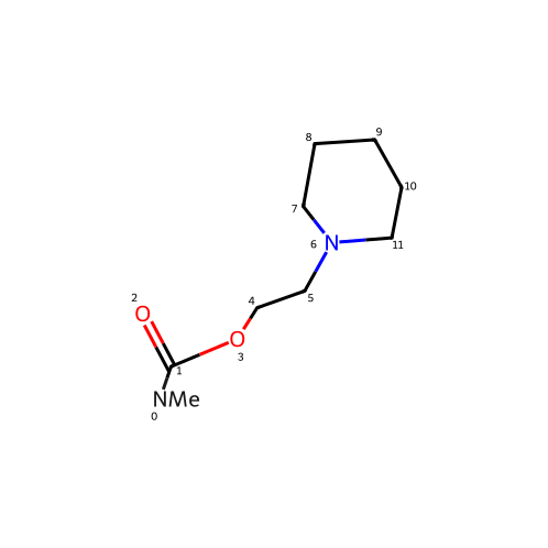 CNC(=O)OCCN1CCCCC1